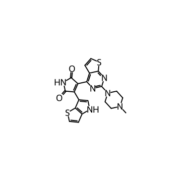 CN1CCN(c2nc(C3=C(c4c[nH]c5ccsc45)C(=O)NC3=O)c3ccsc3n2)CC1